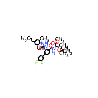 C=CCc1cc(C)c(NC(=O)Nc2cc(-c3ccc(F)c(F)c3)ccc2C(=O)N[C@H](C(=O)OC)[C@@H](C)OC(C)(C)C)c(C)c1